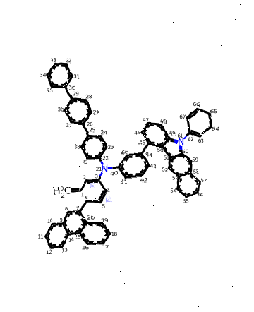 C=C/C=C(\C=C/Cc1cc2ccccc2c2ccccc12)N(c1ccc(-c2ccc(-c3ccccc3)cc2)cc1)c1cccc(-c2cccc3c2c2cc4ccccc4cc2n3C2=CCCC=C2)c1